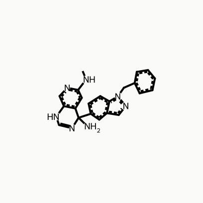 CNc1cc2c(cn1)NC=NC2(N)c1ccc2c(cnn2Cc2ccccc2)c1